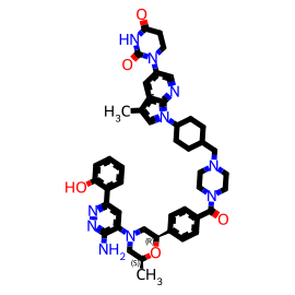 Cc1cn(C2CCC(CN3CCN(C(=O)c4ccc([C@@H]5CN(c6cc(-c7ccccc7O)nnc6N)C[C@H](C)O5)cc4)CC3)CC2)c2ncc(N3CCC(=O)NC3=O)cc12